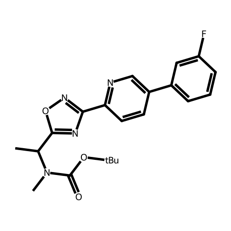 CC(c1nc(-c2ccc(-c3cccc(F)c3)cn2)no1)N(C)C(=O)OC(C)(C)C